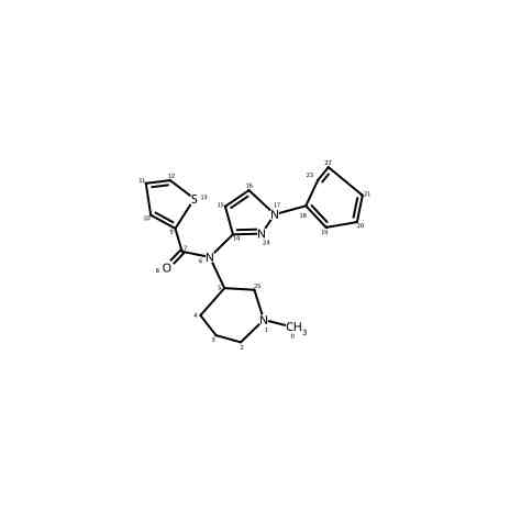 CN1CCCC(N(C(=O)c2cccs2)c2ccn(-c3ccccc3)n2)C1